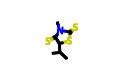 CC(C)C1SC(=S)N(C)C1=S